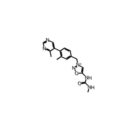 CNC(=O)Nc1c[n+](Cc2ccc(-c3cncnc3C)c(C)c2)no1